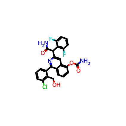 NC(=O)Oc1cccc2c(-c3cccc(Cl)c3CO)nc(C(C(N)=O)c3c(F)cccc3F)cc12